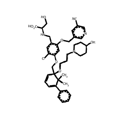 CC1(C)C(c2ccccc2)=CC=CC1(COc1cc(OCc2cncc(C#N)c2)c(CNC(CO)C(=O)O)cc1Cl)OCCCN1CCC(O)CC1